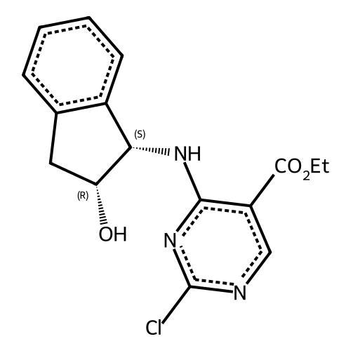 CCOC(=O)c1cnc(Cl)nc1N[C@H]1c2ccccc2C[C@H]1O